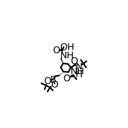 CC(=O)NC1(C(=O)NC(C)(C)C)C[C@H](CCB2OC(C)(C)C(C)(C)O2)C[C@@H](CNC(=O)O)C1